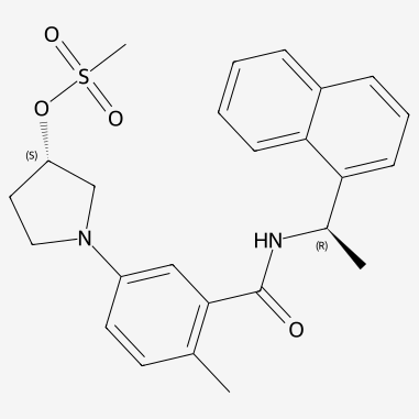 Cc1ccc(N2CC[C@H](OS(C)(=O)=O)C2)cc1C(=O)N[C@H](C)c1cccc2ccccc12